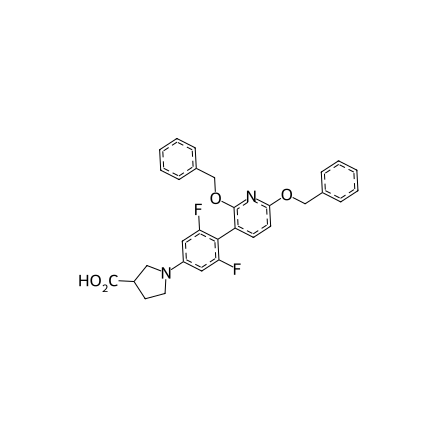 O=C(O)C1CCN(c2cc(F)c(-c3ccc(OCc4ccccc4)nc3OCc3ccccc3)c(F)c2)C1